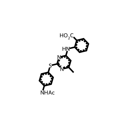 CC(=O)Nc1ccc(Sc2nc(C)cc(Nc3ccccc3C(=O)O)n2)cc1